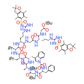 CC[C@H](C)[C@H](NC(=O)[C@@H](N)Cc1ccccc1)C(=O)N[C@@H](C)C(=O)N[C@@H](Cc1cn(C(=O)OC(C)(C)C)c2ccccc12)C(=O)N[C@@H](CC(C)C)C(=O)N[C@H](C(=O)N[C@@H](CCCNC(=N)NS(=O)(=O)c1c(C)c(C)c2c(c1C)CC(C)(C)O2)C(=O)NCC(=O)N[C@@H](CCCNC(=N)NS(=O)(=O)c1c(C)c(C)c2c(c1C)CC(C)(C)O2)C(=O)NCC(=O)OC(C)(C)C)C(C)C